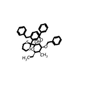 CC[C@H]1O[C@@](O)(C2(c3ccccc3Cc3ccccc3)SCCCS2)[C@H](OCc2ccccc2)[C@@H](OCc2ccccc2)[C@@H]1C